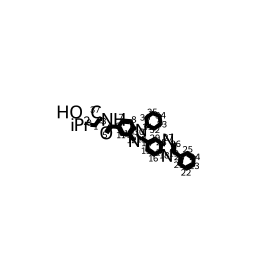 CC(C)CC(NC(=O)c1ccc2c(c1)nc(-c1ccc3nc(-c4ccccc4)cnc3c1)n2C1CCCCC1)C(=O)O